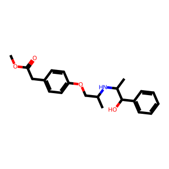 COC(=O)Cc1ccc(OCC(C)NC(C)C(O)c2ccccc2)cc1